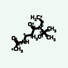 CCN(C(=O)CCNC(C)=O)C(C)(C)C